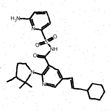 CC1CCN(c2ncc(/C=C/C3CCCCC3)cc2C(=O)NS(=O)(=O)c2cccc(N)n2)C1(C)C